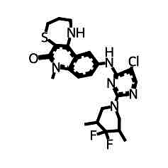 CC1CN(c2ncc(Cl)c(Nc3ccc4c(c3)c3c(c(=O)n4C)SCCCN3)n2)CC(C)C1(F)F